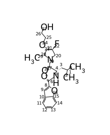 CC(C)C[C@H](NC(=O)c1cc2ccccc2o1)C(=O)N1C[C@H](F)[C@@H](OCCO)[C@H]1C